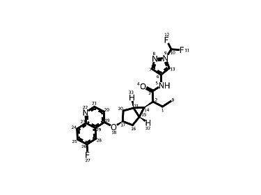 CCC(C(=O)Nc1cnn(C(F)F)c1)[C@H]1[C@@H]2C[C@@H](Oc3ccnc4ccc(F)cc34)C[C@@H]21